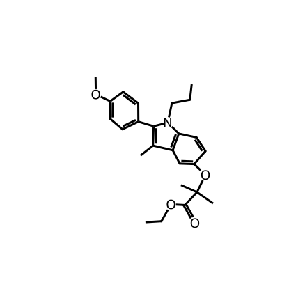 CCCn1c(-c2ccc(OC)cc2)c(C)c2cc(OC(C)(C)C(=O)OCC)ccc21